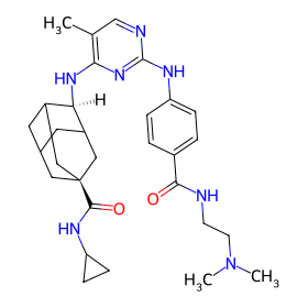 Cc1cnc(Nc2ccc(C(=O)NCCN(C)C)cc2)nc1N[C@H]1C2CC3CC1C[C@@](C(=O)NC1CC1)(C3)C2